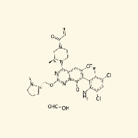 C=CC(=O)N1CCN(c2nc(OC[C@@H]3CCCN3C)nn3c(=O)c(-c4c(N)c(Cl)cc(Cl)c4F)c(C(F)(F)F)cc23)[C@@H](C)C1.O=CO